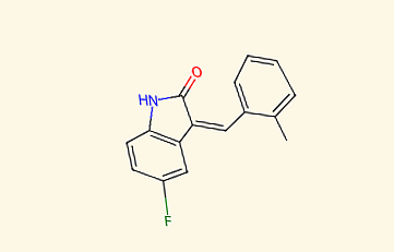 Cc1ccccc1/C=C1\C(=O)Nc2ccc(F)cc21